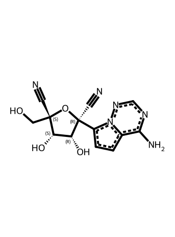 N#C[C@@]1(c2ccc3c(N)ncnn23)O[C@@](C#N)(CO)[C@@H](O)[C@H]1O